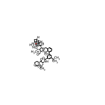 COc1c(CN2O[C@@H](CO)[C@@H]([C@H](C)O)[C@H]2C(=O)N[C@H]2C[C@H]3C[C@@H]([C@@H]2C)C3(C)C)cccc1-c1cc(C(=O)N[C@H](CN(C)C)C(=O)N2CCOCC2)cc(N(C)C)c1